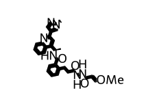 CO/C=C/C(=O)NNC(=O)CCc1ccccc1C(=O)N[C@H](C)c1cc(-c2cnn(C)c2)nc2ccccc12